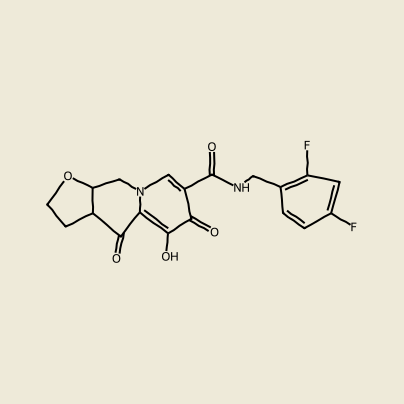 O=C(NCc1ccc(F)cc1F)c1cn2c(c(O)c1=O)C(=O)C1CCOC1C2